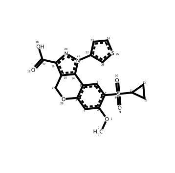 COc1cc2c(cc1S(=O)(=O)C1CC1)-c1c(c(C(=O)O)nn1-c1ccsc1)CO2